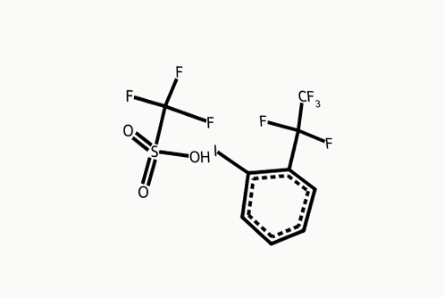 FC(F)(F)C(F)(F)c1ccccc1I.O=S(=O)(O)C(F)(F)F